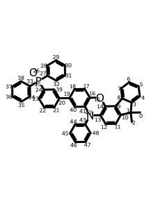 CC1(C)c2ccccc2-c2c1ccc1c2Oc2ccc(-c3cccc(P(=O)(c4ccccc4)c4ccccc4)c3)cc2N1c1ccccc1